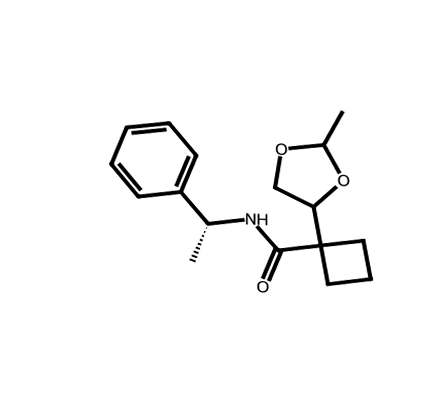 CC1OCC(C2(C(=O)N[C@H](C)c3ccccc3)CCC2)O1